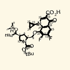 C[SiH](C)OC([C@H]1C[C@@H](COc2c(F)c(F)cc3c(=O)c(C(=O)O)cn(C4CC4)c23)N(C(=O)OC(C)(C)C)C1)C(C)(C)C